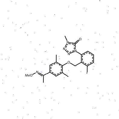 CO/N=C(\C)c1cc(C)c(OCc2c(C)cccc2-n2nnn(C)c2=O)c(C)c1